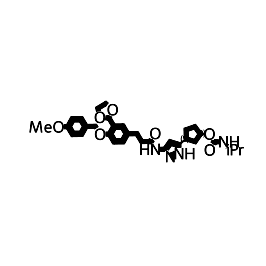 COc1ccc(COc2ccc(CCC(=O)Nc3cc([C@H]4CC[C@@H](OC(=O)NC(C)C)C4)[nH]n3)cc2C2OCCO2)cc1